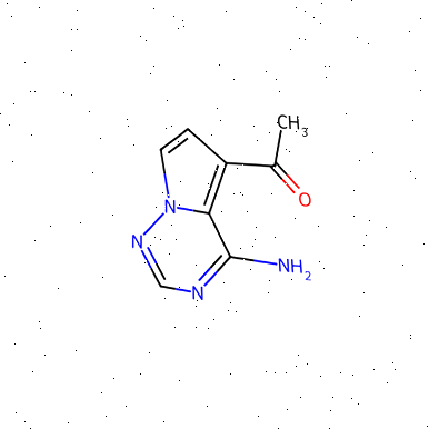 CC(=O)c1ccn2ncnc(N)c12